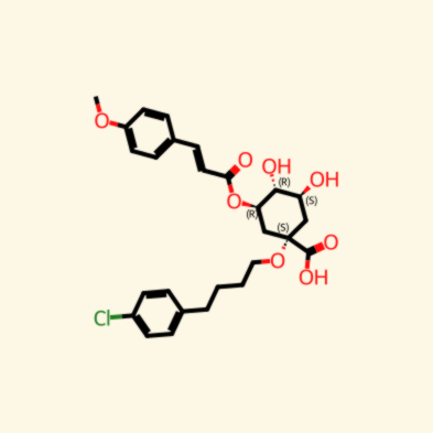 COc1ccc(C=CC(=O)O[C@@H]2C[C@](OCCCCc3ccc(Cl)cc3)(C(=O)O)C[C@H](O)[C@H]2O)cc1